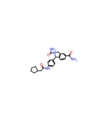 NC(=O)c1ccc2c(c1)CN(C(N)=O)C2c1ccc(NC(=O)CC2CCCC2)cc1